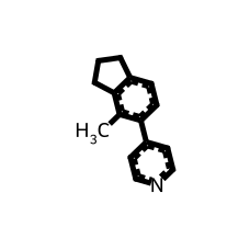 Cc1c(-c2ccncc2)ccc2c1CCC2